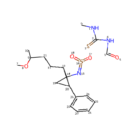 CNC(=S)NC=O.COC(C)CCCC1(N=S(=O)=O)CC1c1ccccc1